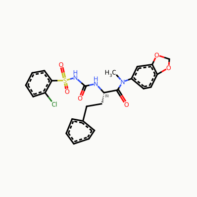 CN(C(=O)[C@H](CCc1ccccc1)NC(=O)NS(=O)(=O)c1ccccc1Cl)c1ccc2c(c1)OCO2